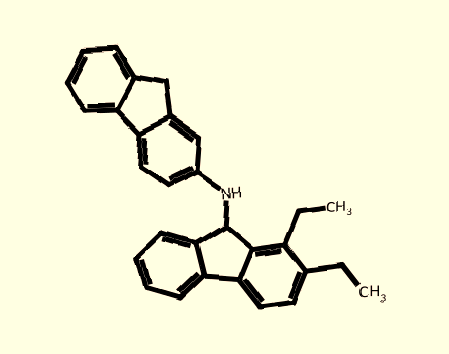 CCc1ccc2c(c1CC)C(Nc1ccc3c(c1)Cc1ccccc1-3)c1ccccc1-2